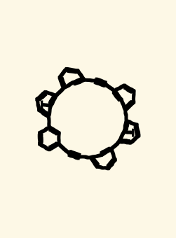 Ic1c2cccc1c1cccc(c#cc3cccc(c3)c3cccc(c3I)c3cccc(c#cc4cccc2c4)c3)c1